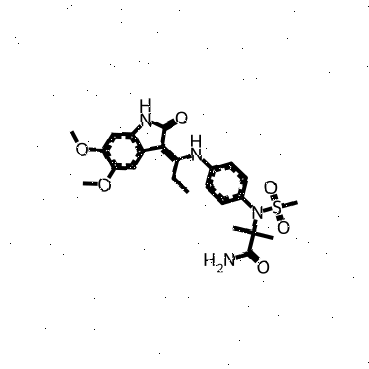 CC/C(Nc1ccc(N(C(C)(C)C(N)=O)S(C)(=O)=O)cc1)=C1/C(=O)Nc2cc(OC)c(OC)cc21